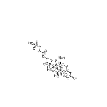 C[C@]12C=CC(=O)C=C1CC[C@@H]1[C@@H]2[C@@H](O)C[C@@]2(C)[C@H]1CC[C@]2(O)C(=O)COC(=O)CCS(=O)(=O)O.[NaH]